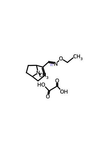 CCO/N=C/C1=CCC2CCC1N2C.O=C(O)C(=O)O